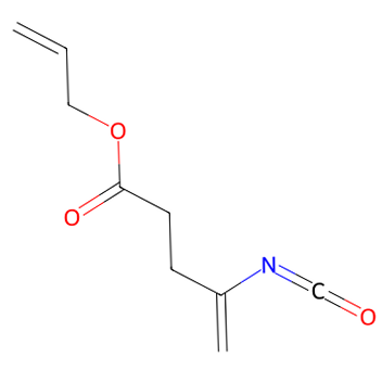 C=CCOC(=O)CCC(=C)N=C=O